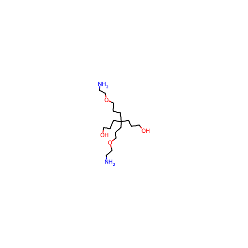 NCCOCCCC(CCCO)(CCCO)CCCOCCN